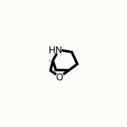 C1CC2C[C](CO2)N1